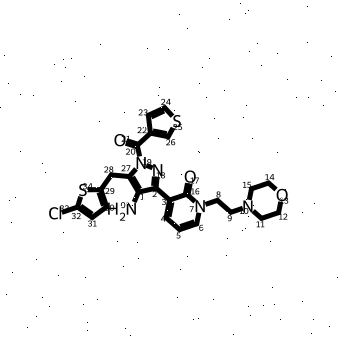 Nc1c(-c2cccn(CCN3CCOCC3)c2=O)nn(C(=O)c2ccsc2)c1Cc1ccc(Cl)s1